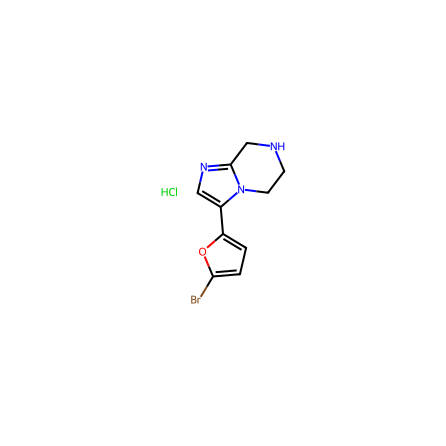 Brc1ccc(-c2cnc3n2CCNC3)o1.Cl